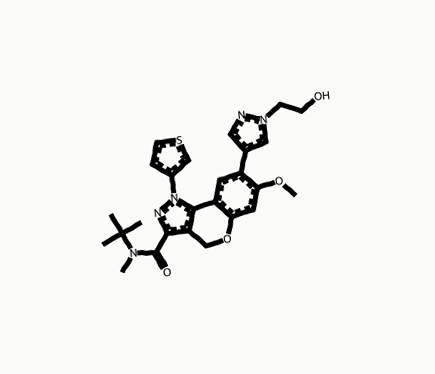 COc1cc2c(cc1-c1cnn(CCO)c1)-c1c(c(C(=O)N(C)C(C)(C)C)nn1-c1ccsc1)CO2